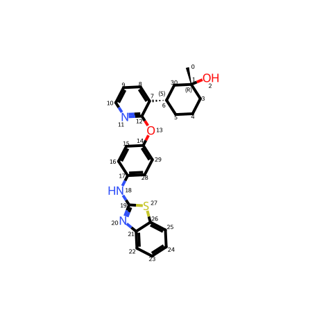 C[C@@]1(O)CCC[C@H](c2cccnc2Oc2ccc(Nc3nc4ccccc4s3)cc2)C1